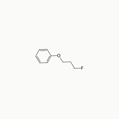 F[CH]CCOc1ccccc1